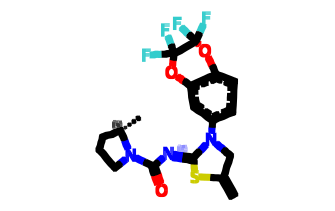 C=C1CN(c2ccc3c(c2)OC(F)(F)C(F)(F)O3)/C(=N/C(=O)N2CCC[C@@H]2C)S1